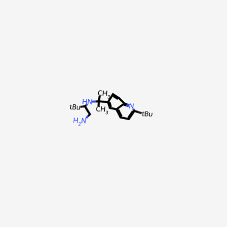 CC(C)(C)c1ccc2cc(C(C)(C)NC(CN)C(C)(C)C)ccc2n1